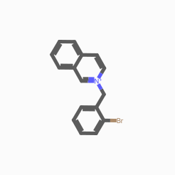 Brc1ccccc1C[n+]1ccc2ccccc2c1